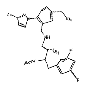 CC(=O)NC(Cc1cc(F)cc(F)c1)C(O)CNCc1cc(CC(C)(C)C)ccc1-n1ccc(C(C)=O)n1